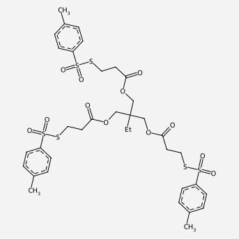 CCC(COC(=O)CCSS(=O)(=O)c1ccc(C)cc1)(COC(=O)CCSS(=O)(=O)c1ccc(C)cc1)COC(=O)CCSS(=O)(=O)c1ccc(C)cc1